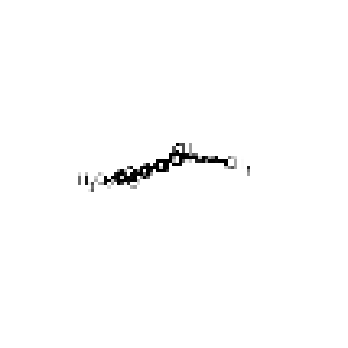 CCCCCCCCCCc1ccc(-c2ccc(-c3ccc(C(=O)Oc4ccc(OCC)cc4)cc3)cc2)cc1C